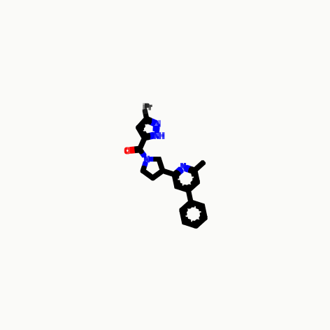 Cc1cc(-c2ccccc2)cc(C2CCN(C(=O)c3cc(C(C)C)n[nH]3)C2)n1